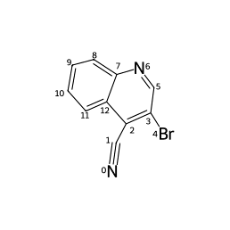 N#Cc1c(Br)cnc2ccccc12